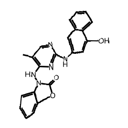 Cc1cnc(Nc2cc(O)c3ccccc3c2)nc1Nn1c(=O)oc2ccccc21